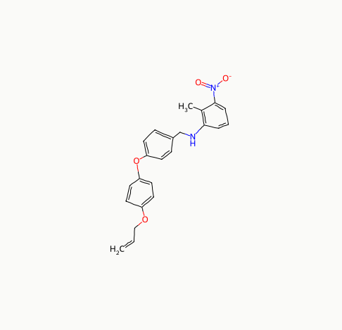 C=CCOc1ccc(Oc2ccc(CNc3cccc([N+](=O)[O-])c3C)cc2)cc1